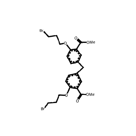 COC(=O)c1cc(Cc2ccc(OCCCBr)c(C(=O)OC)c2)ccc1OCCCBr